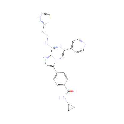 O=C(NC1CC1)c1ccc(-c2cnc3c(NCCc4nccs4)nc(-c4ccncc4)cn23)cc1